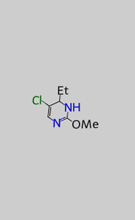 CCC1NC(OC)=NC=C1Cl